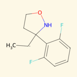 C[CH]C1(c2c(F)cccc2F)CCON1